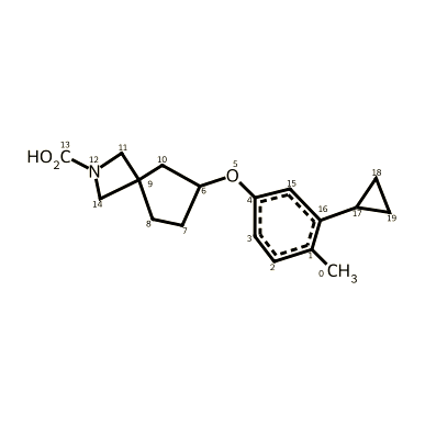 Cc1ccc(OC2CCC3(C2)CN(C(=O)O)C3)cc1C1CC1